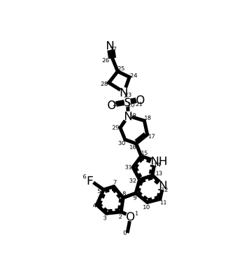 COc1ccc(F)cc1-c1ccnc2[nH]c(C3=CCN(S(=O)(=O)N4CC(C#N)C4)CC3)cc12